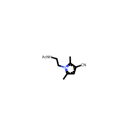 CC(=O)NCCn1c(C)cc(C#N)c1C